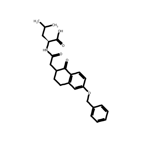 CC(C)C[C@H](NC(=O)CC1CCc2cc(OCc3ccccc3)ccc2C1=O)C(=O)O